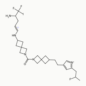 CC(F)CC1=[N+]=CC(CCC2CC3(C2)CN(C(=O)N2CC4(CC(N/C=C/CC(N)C(F)(F)I)C4)C2)C3)=C1